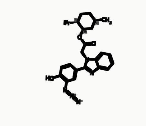 CC(C)[C@@H]1CC[C@@H](C)C[C@H]1OC(=O)Cn1c(-c2ccc(O)c(N=[N+]=[N-])c2)nc2ccccc21